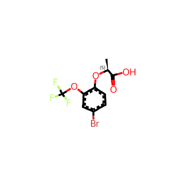 C[C@H](Oc1ccc(Br)cc1OC(F)(F)F)C(=O)O